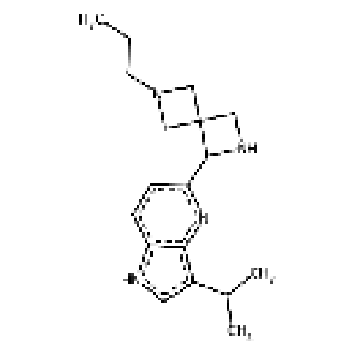 CCCN1CC2(CNC2c2ccc3[nH]cc(C(C)C)c3n2)C1